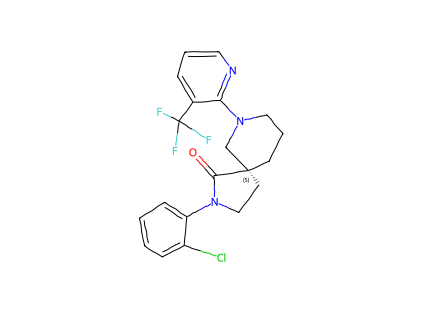 O=C1N(c2ccccc2Cl)CC[C@]12CCCN(c1ncccc1C(F)(F)F)C2